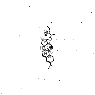 CCOC(C)O[C@]1(C#N)[C@@H](C)C[C@H]2[C@@H]3CC=C4C=C(OC)CC[C@]4(C)[C@@]3(O)CC[C@@]21C